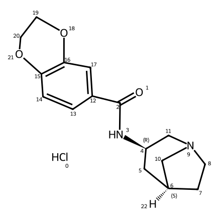 Cl.O=C(N[C@@H]1C[C@@H]2CCN(C2)C1)c1ccc2c(c1)OCCO2